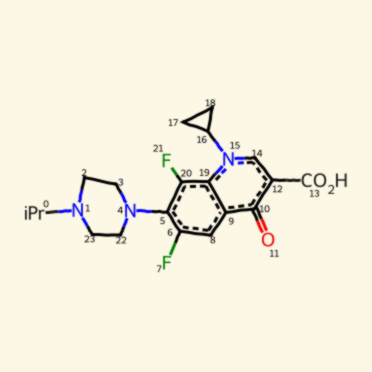 CC(C)N1CCN(c2c(F)cc3c(=O)c(C(=O)O)cn(C4CC4)c3c2F)CC1